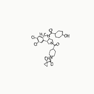 CN(C(=O)C1CCC(O)CC1)[C@H]1CN(C(=O)C2CCN(C(=O)C3(C)CC3)CC2)C[C@H]1c1ccc(Cl)c(Cl)c1